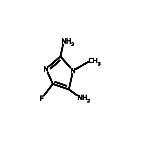 Cn1c(N)nc(F)c1N